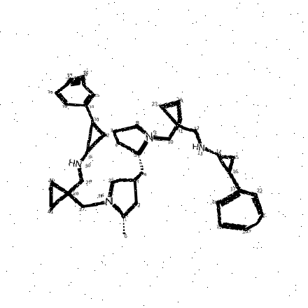 C[C@H]1CC(C[C@@H]2CCCN2CC2(CN[C@H]3CC3c3ccccc3)CC2)CN1CC1(CNC2CC2c2ccccc2)CC1